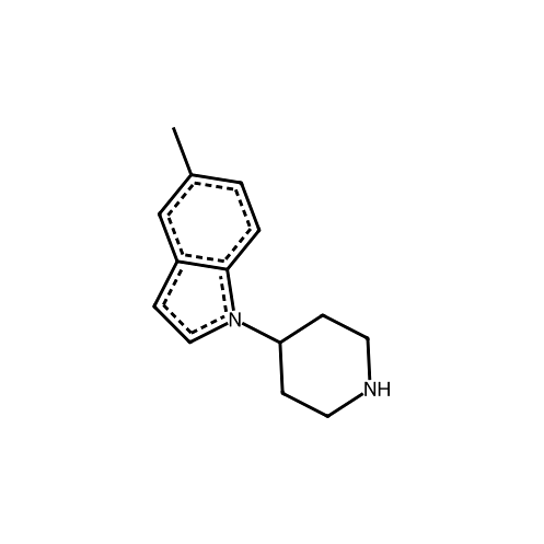 Cc1ccc2c(ccn2C2CCNCC2)c1